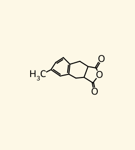 Cc1ccc2c(c1)CC1C(=O)OC(=O)C1C2